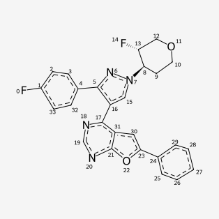 Fc1ccc(-c2nn([C@@H]3CCOC[C@H]3F)cc2-c2ncnc3oc(-c4ccccc4)cc23)cc1